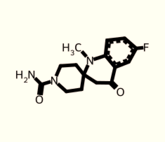 CN1c2ccc(F)cc2C(=O)CC12CCN(C(N)=O)CC2